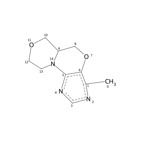 Cc1ncnc2c1OCC1COCCN21